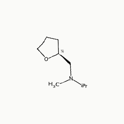 CC(C)N(C)C[C@@H]1CCCO1